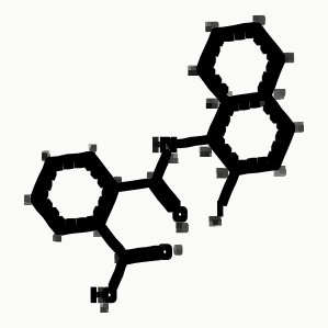 O=C(O)c1ccccc1C(=O)Nc1c(I)ccc2ccccc12